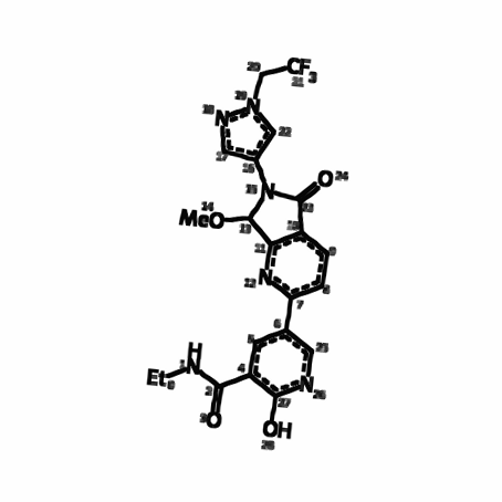 CCNC(=O)c1cc(-c2ccc3c(n2)C(OC)N(c2cnn(CC(F)(F)F)c2)C3=O)cnc1O